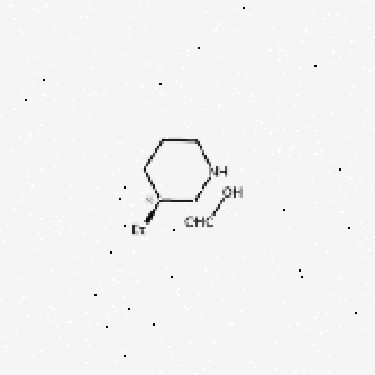 CC[C@H]1CCCNC1.O=CO